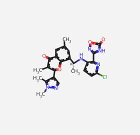 Cc1cc([C@@H](C)Nc2ccc(Cl)nc2-c2noc(=O)[nH]2)c2oc(-c3cnn(C)c3C)c(C)c(=O)c2c1